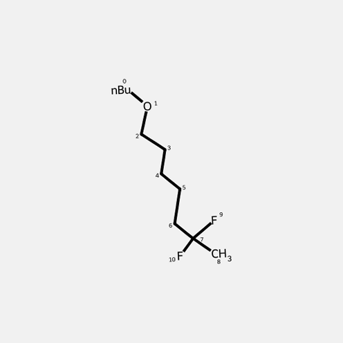 CCCCOCCCCCC(C)(F)F